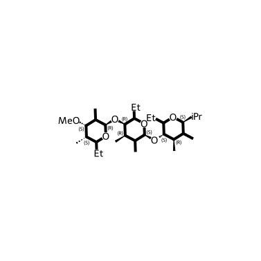 CCC1O[C@@H](C(C)C)C(C)[C@@H](C)[C@@H]1O[C@@H]1OC(CC)[C@H](O[C@H]2OC(CC)[C@H](C)[C@H](OC)C2C)[C@H](C)C1C